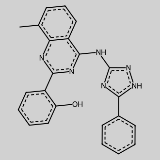 Cc1cccc2c(Nc3n[nH]c(-c4ccccc4)n3)nc(-c3ccccc3O)nc12